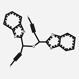 IC#CC(OC(C#CI)c1nc2ccccc2o1)c1nc2ccccc2o1